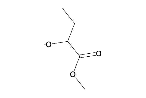 CCC([O])C(=O)OC